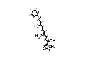 CC=C(C)C(O)CC/C(C)=C/CC/C(C)=C/COC1CCCCO1